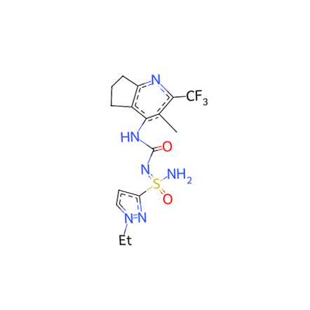 CCn1ccc(S(N)(=O)=NC(=O)Nc2c(C)c(C(F)(F)F)nc3c2CCC3)n1